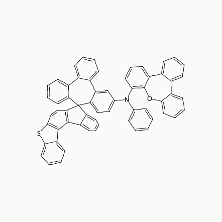 c1ccc(N(c2ccc3c(c2)-c2ccccc2-c2ccccc2C32c3ccccc3-c3c2ccc2sc4ccccc4c32)c2cccc3c2Oc2ccccc2-c2ccccc2-3)cc1